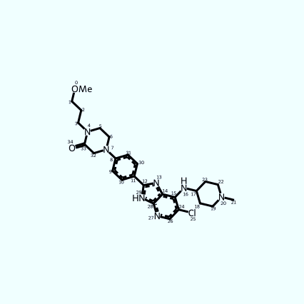 COCCCN1CCN(c2ccc(-c3nc4c(NC5CCN(C)CC5)c(Cl)cnc4[nH]3)cc2)CC1=O